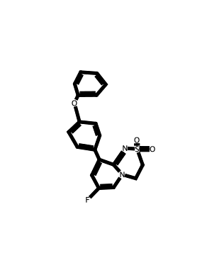 O=S1(=O)CCN2C=C(F)C=C(c3ccc(Oc4ccccc4)cc3)C2=N1